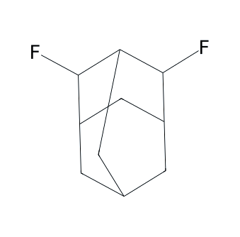 FC1C2CC3CC(C2)C(F)C1C3